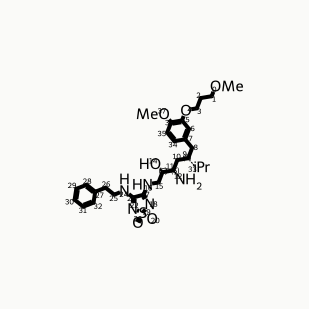 COCCCOc1cc(C[C@@H](C[C@H](N)[C@@H](O)CNC2=NS(=O)(=O)N=C2NCCc2ccccc2)C(C)C)ccc1OC